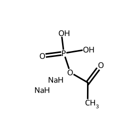 CC(=O)OP(=O)(O)O.[NaH].[NaH]